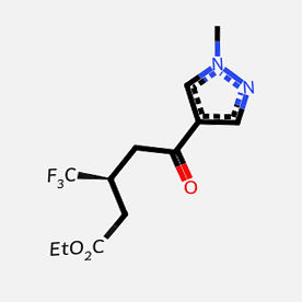 CCOC(=O)C[C@H](CC(=O)c1cnn(C)c1)C(F)(F)F